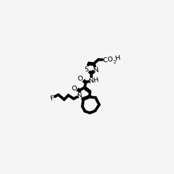 O=C(O)Cc1csc(NC(=O)c2cc3c(n(CCCCF)c2=O)CCCCCC3)n1